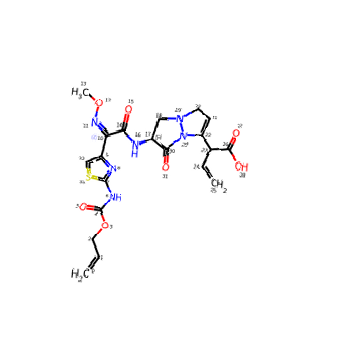 C=CCOC(=O)Nc1nc(/C(=N/OC)C(=O)N[C@H]2CN3CC=C(C(C=C)C(=O)O)N3C2=O)cs1